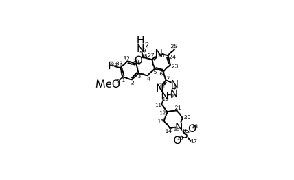 COc1cc(Cc2c(-c3nnn(CC4CCN(S(C)(=O)=O)CC4)n3)cc(C)nc2C(N)=O)ccc1F